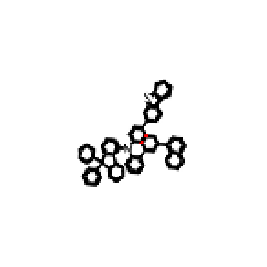 c1ccc(C2(c3ccccc3)c3ccccc3-c3c(N(c4ccc(-c5ccc6c(c5)sc5ccccc56)cc4)c4ccccc4-c4cccc(-c5cccc6ccccc56)c4)cccc32)cc1